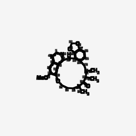 COc1cc2ncnc3c2cc1OCCCN(C)C(=O)[C@H](C)N(C)Cc1ccc2c(c1N3)OCO2